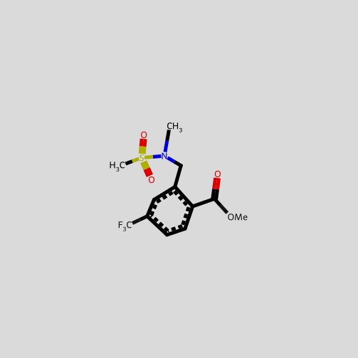 COC(=O)c1ccc(C(F)(F)F)cc1CN(C)S(C)(=O)=O